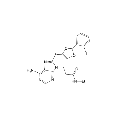 CCNC(=O)CCn1c(SC2=COC(c3ccccc3I)O2)nc2c(N)ncnc21